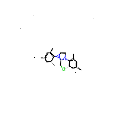 CC1=CC(C)=C(N2CCN(C3=C(C)C=C(C)C[C@@H]3C)C2CCl)[C@H](C)C1